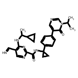 CC(Nc1nc(C(=O)NC2(c3ccc(-c4cncn(C(C)C)c4=O)cc3)CC2)ncc1C=N)C1CC1